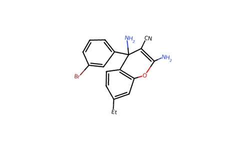 CCc1ccc2c(c1)OC(N)=C(C#N)C2(N)c1cccc(Br)c1